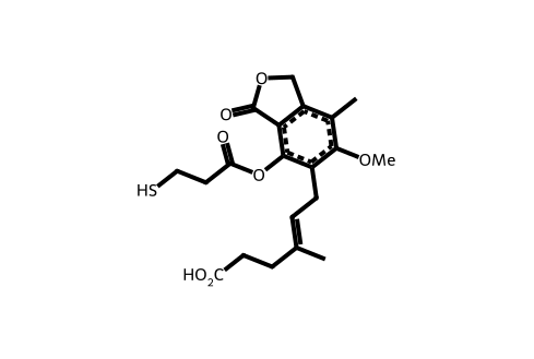 COc1c(C)c2c(c(OC(=O)CCS)c1C/C=C(\C)CCC(=O)O)C(=O)OC2